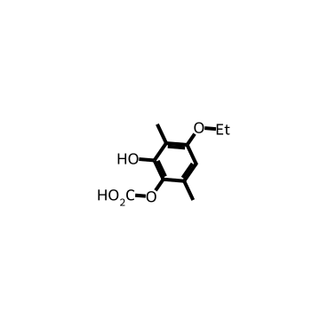 CCOc1cc(C)c(OC(=O)O)c(O)c1C